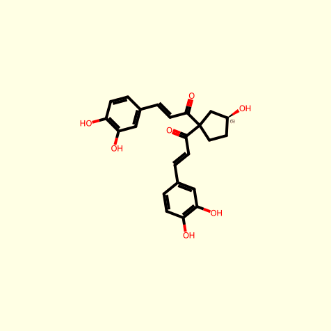 O=C(C=Cc1ccc(O)c(O)c1)C1(C(=O)C=Cc2ccc(O)c(O)c2)CC[C@H](O)C1